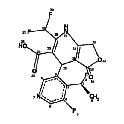 C[C@H](F)c1c(F)cncc1C1C2=C(COC2=O)NC(C(F)F)=C1C(=O)O